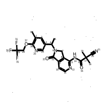 Cc1cc(C(C)N2Cc3c(ccnc3NC(=O)C(C)(C)C#N)C2=O)cnc1OCC(F)(F)F